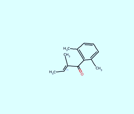 C/C=C(\C)C(=O)c1c(C)cccc1C